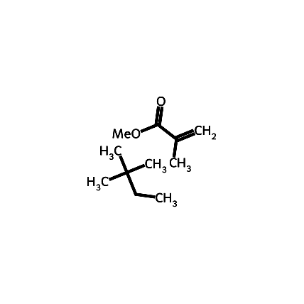 C=C(C)C(=O)OC.CCC(C)(C)C